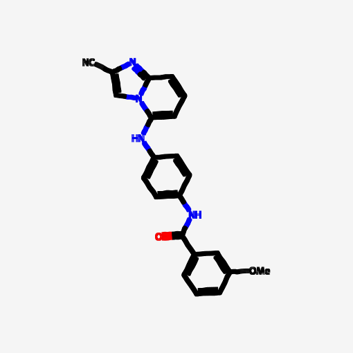 COc1cccc(C(=O)Nc2ccc(Nc3cccc4nc(C#N)cn34)cc2)c1